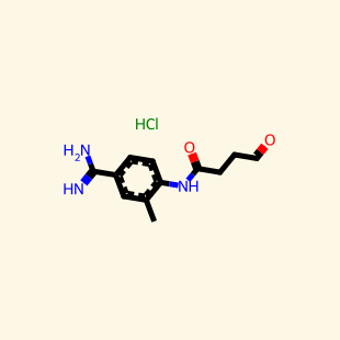 Cc1cc(C(=N)N)ccc1NC(=O)CCC=O.Cl